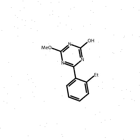 CCc1ccccc1-c1nc(O)nc(OC)n1